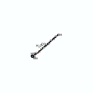 C=CC(=O)O.CC(C)(C)c1ccccc1OC(O)COCCOCCOCCOCCOCCOCCOCCOCCOCCO